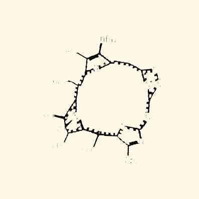 CCCCC1=Nc2nc1c(CCCC)c1c(CCCC)c(CCCC)c(c(CCCC)c3nc(cc4nnc(n2)n4S)C(CCCC)=C3CCCC)n1CCCC